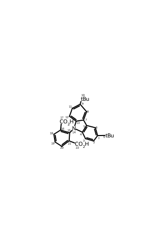 CC(C)(C)c1ccc2c(c1)c1cc(C(C)(C)C)ccc1n2-c1c(C(=O)O)cccc1C(=O)O